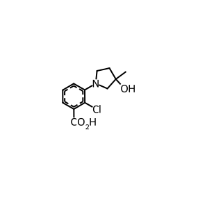 CC1(O)CCN(c2cccc(C(=O)O)c2Cl)C1